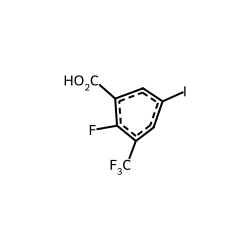 O=C(O)c1cc(I)cc(C(F)(F)F)c1F